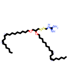 CCCCC/C=C\C/C=C\CCCCCCCCOCC(CSSCNC(=N)N)OCCCCCCCC/C=C\C/C=C\CCCCC